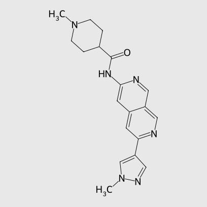 CN1CCC(C(=O)Nc2cc3cc(-c4cnn(C)c4)ncc3cn2)CC1